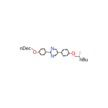 CCCCCCCCCCCOc1ccc(-c2ncc(-c3ccc(OCC(F)CCCC)cc3)cn2)cc1